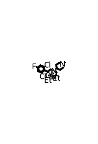 CC[Si](CC)(CC)OC(CNC1CCN(C)CC1)c1c(Cl)cc(F)cc1Cl